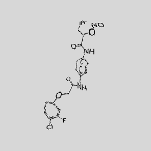 CC(C)CC(ON=O)C(=O)NC12CCC(NC(=O)COc3ccc(Cl)c(F)c3)(CC1)CC2